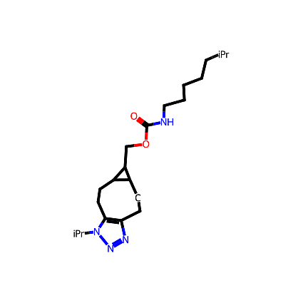 CC(C)CCCCCNC(=O)OCC1C2CCc3nnn(C(C)C)c3CCC21